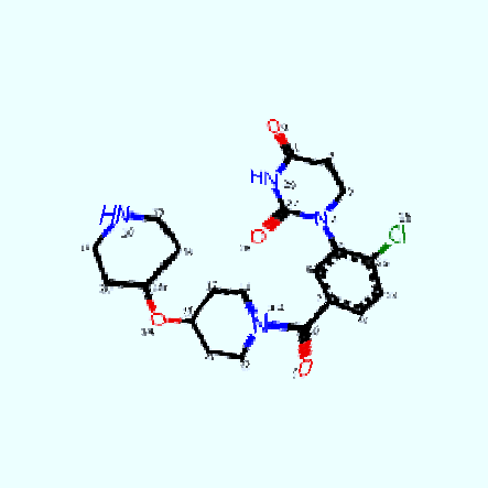 O=C1CCN(c2cc(C(=O)N3CCC(OC4CCNCC4)CC3)ccc2Cl)C(=O)N1